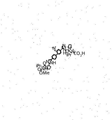 COC(=O)N[C@H](C(=O)N1CCCC1c1ncc(-c2ccc(-c3ccc(-c4cnc([C@@H]5CCCN5C(=O)[C@H](C(C)C)N(C)C(=O)O)[nH]4)cc3CN(C)C)cc2)[nH]1)C(C)C